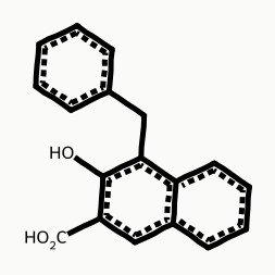 O=C(O)c1cc2ccccc2c(Cc2ccccc2)c1O